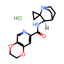 Cl.O=C(N[C@@H]1C2CCN(CC2)C12CC2)c1cc2c(cn1)OCCO2